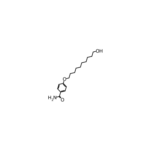 NC(=O)c1ccc(OCCCCCCCCCCO)cc1